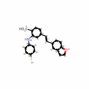 O=C(O)c1ccc(/C=C/c2ccc3occc3c2)cc1Nc1ccc(F)cc1